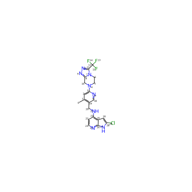 Cc1cc(N2CCn3c(nnc3C(F)(F)F)C2)ncc1CNc1ccnc2[nH]c(Cl)cc12